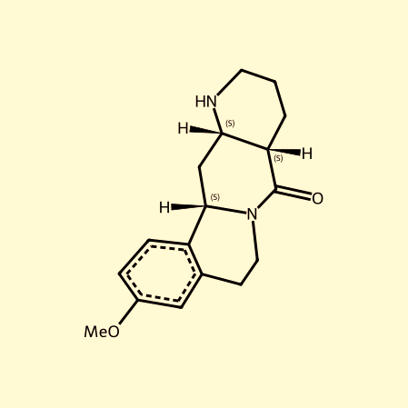 COc1ccc2c(c1)CCN1C(=O)[C@H]3CCCN[C@H]3C[C@@H]21